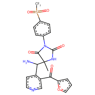 CC1(C(N)c2ccncc2C(=O)c2ccco2)NC(=O)N(c2ccc(S(=O)(=O)C(F)(F)F)cc2)C1=O